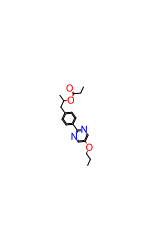 CCCOc1cnc(-c2ccc(CC(C)OC(=O)CC)cc2)nc1